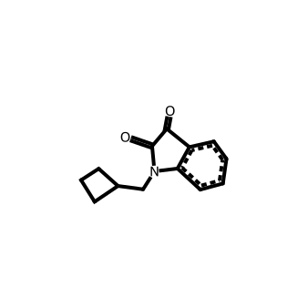 O=C1C(=O)N(CC2CCC2)c2ccccc21